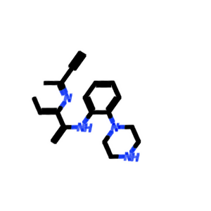 C#C/C(C)=N/C(=C\C)C(=C)Nc1ccccc1N1CCNCC1